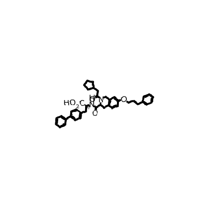 O=C(N[C@@H](Cc1ccc(-c2ccccc2)cc1)C(=O)O)C1Cc2ccc(OCCCc3ccccc3)cc2CN1C(=O)CC1CCCC1